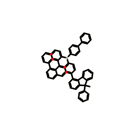 CC1(c2ccccc2)c2ccccc2-c2c(-c3ccc(N(c4ccc(-c5ccccc5)cc4)c4ccccc4-c4cccc5cccc(-c6ccccc6)c45)cc3)cccc21